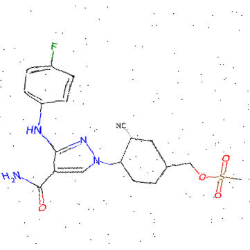 CS(=O)(=O)OCC1CCC(n2cc(C(N)=O)c(Nc3ccc(F)cc3)n2)[C@H](C#N)C1